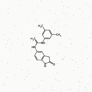 C=C(Nc1cc(C)cc(C)c1)Nc1ccc2c(c1)CC(=O)N2